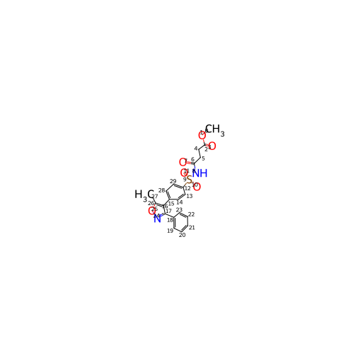 COC(=O)CCC(=O)NS(=O)(=O)c1ccc(-c2c(-c3ccccc3)noc2C)cc1